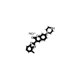 Cc1cccc2oc(-c3cc4ccc(N5CCNCC5)cc4oc3=O)nc12.Cl